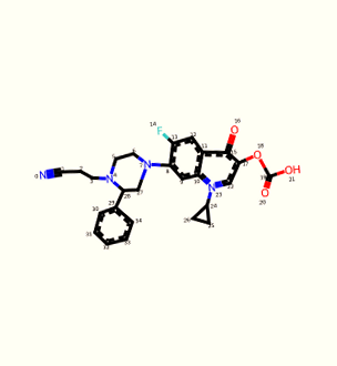 N#CCCN1CCN(c2cc3c(cc2F)c(=O)c(OC(=O)O)cn3C2CC2)CC1c1ccccc1